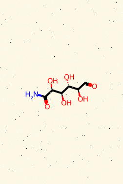 NC(=O)[C@@H](O)[C@H](O)[C@H](O)[C@H](O)C=O